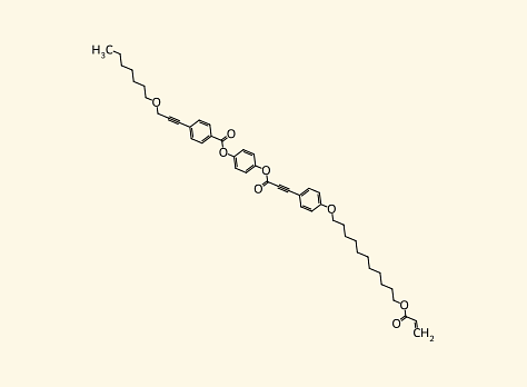 C=CC(=O)OCCCCCCCCCCCOc1ccc(C#CC(=O)Oc2ccc(OC(=O)c3ccc(C#CCOCCCCCCC)cc3)cc2)cc1